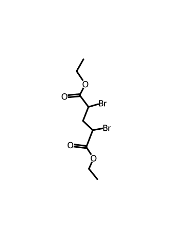 CCOC(=O)C(Br)CC(Br)C(=O)OCC